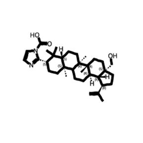 C=C(C)[C@@H]1CC[C@]2(CO)CC[C@]3(C)[C@H](CCC4[C@@]5(C)CC[C@H](c6nccn6C(=O)O)C(C)(C)[C@@H]5CC[C@]43C)[C@@H]12